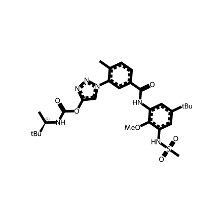 COc1c(NC(=O)c2ccc(C)c(-n3cc(OC(=O)N[C@H](C)C(C)(C)C)nn3)c2)cc(C(C)(C)C)cc1NS(C)(=O)=O